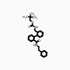 CC(C)(C)COC(=O)NCc1ccccc1-c1ccccc1C(=O)NCCc1ccccc1